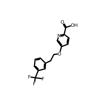 O=C(O)c1ccc(OCCc2cccc(C(F)(F)F)c2)cn1